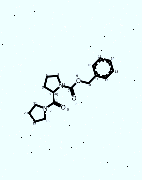 O=C([C@H]1CCCN1C(=O)OCc1ccccc1)N1CCCC1